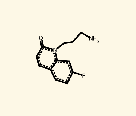 NCCCn1c(=O)ccc2ccc(F)cc21